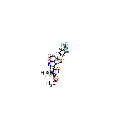 COCCN(C(=O)c1cnc2c(c1)N([S+]([O-])c1ccc(C(F)(F)F)cc1)CCO2)C(C)(C)C